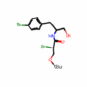 CC(C)(C)OC[C@@H](Br)C(=O)NC(CO)Cc1ccc(Br)cc1